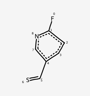 Fc1ccc([C]=S)cn1